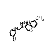 Cc1ccc2c(c1)-c1[nH]nc(CNc3cccc(Cl)c3)c1CO2